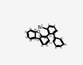 Brc1cccc(-c2ccccc2)c1-c1cccc2c1oc1ccccc12